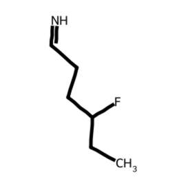 CCC(F)CCC=N